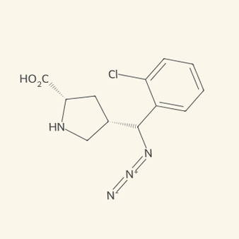 [N-]=[N+]=NC(c1ccccc1Cl)[C@@H]1CN[C@H](C(=O)O)C1